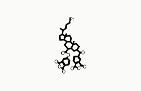 CC(C)CCCC(C)C1CCC2C3CC(C(=O)Oc4ccc5c(c4)C(=O)OC5=O)C4CC(C(=O)c5ccc6c(c5)C(=O)OC6=O)CCC4(C)C3CCC12C